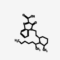 CCCCC[C@H](C)N1[C@@H](CCn2c(=O)c(C(=O)O)nc3ccccc32)CCC[C@H]1C